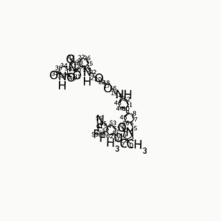 CC1(C)CN(Cc2ccc(-c3ccc(NCCOCCOCCNc4cccc5c4C(=O)N(C4CCC(=O)NC4=O)C5=O)cc3)cc2)C(=O)C1Oc1ccc(C#N)c(C(F)(F)F)c1